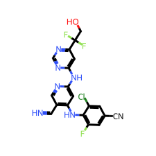 N#Cc1cc(F)c(Nc2cc(Nc3cc(C(F)(F)CO)ncn3)ncc2C=N)c(Cl)c1